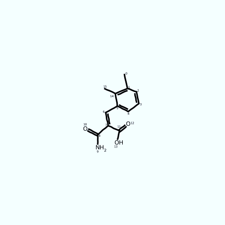 Cc1cccc(C=C(C(N)=O)C(=O)O)c1C